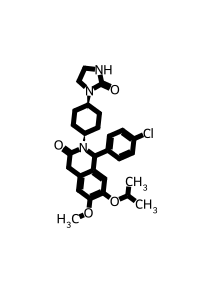 COc1cc2c(cc1OC(C)C)C(c1ccc(Cl)cc1)N([C@H]1CC[C@H](N3CCNC3=O)CC1)C(=O)C2